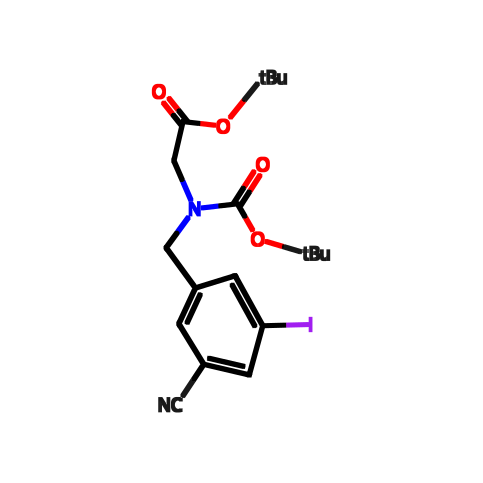 CC(C)(C)OC(=O)CN(Cc1cc(I)cc(C#N)c1)C(=O)OC(C)(C)C